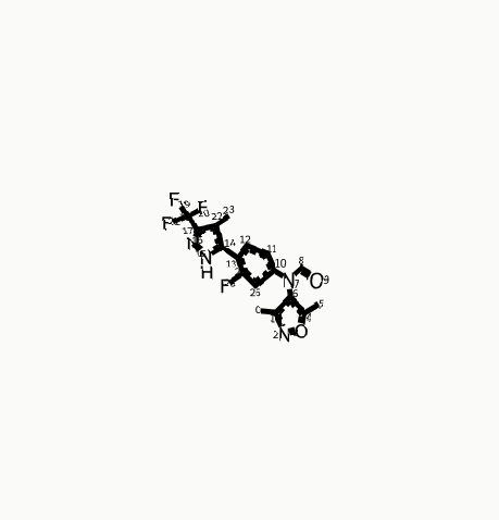 Cc1noc(C)c1N(C=O)c1ccc(-c2[nH]nc(C(F)(F)F)c2C)c(F)c1